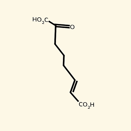 O=C(O)C=CCCCC(=O)C(=O)O